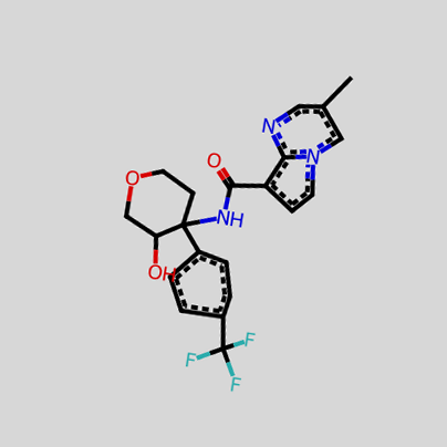 Cc1cnc2c(C(=O)NC3(c4ccc(C(F)(F)F)cc4)CCOCC3O)ccn2c1